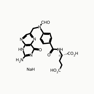 Nc1nc(=O)c2nc(CN(C=O)c3ccc(C(=O)N[C@@H](CCC(=O)O)C(=O)O)cc3)cnc2[nH]1.[NaH]